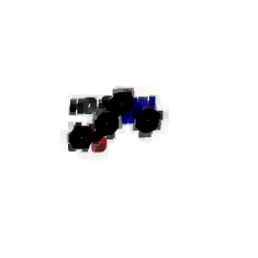 O=C(c1ccccc1)c1ccc(-c2c(S(=O)(=O)O)ccc3[nH]c(-c4ccccc4)nc23)cc1